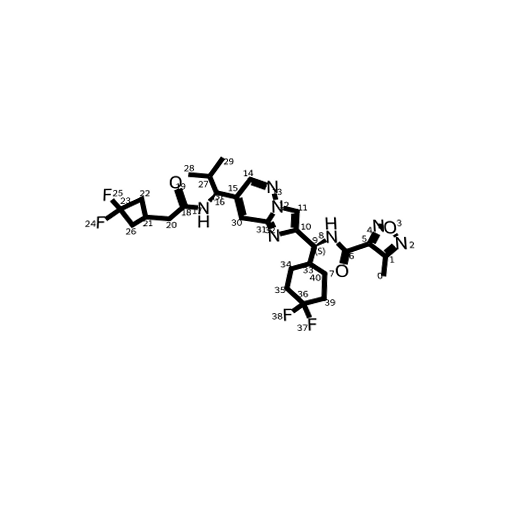 Cc1nonc1C(=O)N[C@H](c1cn2ncc([C@@H](NC(=O)CC3CC(F)(F)C3)C(C)C)cc2n1)C1CCC(F)(F)CC1